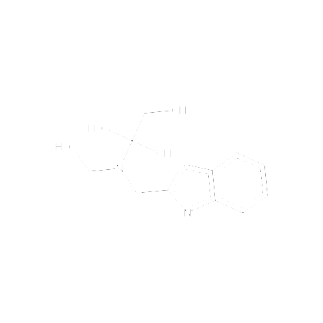 CCN(Sc1nc2ccccc2s1)C(C)(C)CC